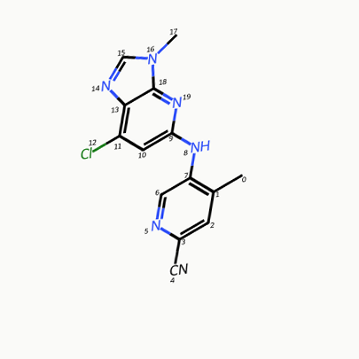 Cc1cc(C#N)ncc1Nc1cc(Cl)c2ncn(C)c2n1